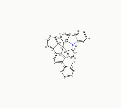 Cc1ccccc1-c1ccc2c(c1)C1(c3ccccc3-2)c2ccccc2-n2c3ccccc3c3cccc1c32